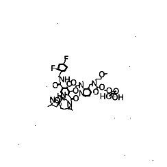 COCCN(Cc1cccnc1N(C)C(=O)Oc1c2n(cc(C(=O)NCc3ccc(F)cc3F)c1=O)[C@@H]1CN(C2=O)[C@@H](C)CC[C@]12CC(C)=NO2)C(=O)OCOP(=O)(O)O